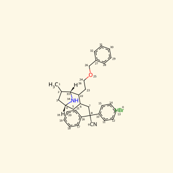 Br.CC1C[C@H]2CC(CC(C#N)(c3ccccc3)c3ccccc3)C(CCOCc3ccccc3)[C@@H]1N2